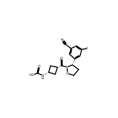 N#Cc1cc(F)cc([C@@H]2CCON2C(=O)[C@H]2C[C@@H](NC(=O)O)C2)c1